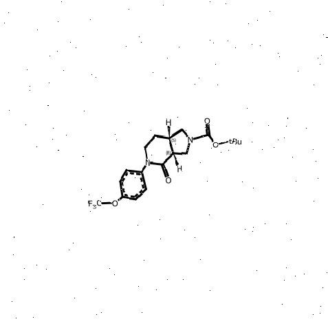 CC(C)(C)OC(=O)N1C[C@H]2CCN(c3ccc(OC(F)(F)F)cc3)C(=O)[C@H]2C1